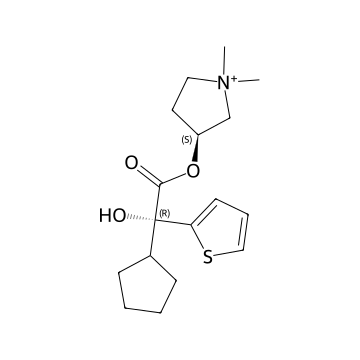 C[N+]1(C)CC[C@H](OC(=O)[C@@](O)(c2cccs2)C2CCCC2)C1